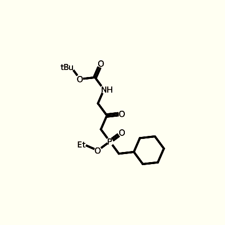 CCOP(=O)(CC(=O)CNC(=O)OC(C)(C)C)CC1CCCCC1